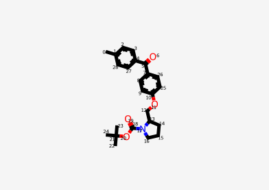 Cc1ccc(C(=O)c2ccc(OCC3CCCN3C(=O)OC(C)(C)C)cc2)cc1